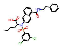 CCCCC(C(=O)O)N(c1ccc2c(C(=O)NCCc3ccccc3)cccc2c1)S(=O)(=O)c1cc(Cl)cc(Cl)c1